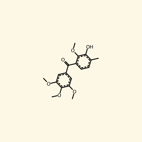 COc1cc(C(=O)c2ccc(C)c(O)c2OC)cc(OC)c1OC